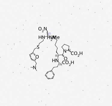 CN/C(=C/[N+](=O)[O-])NCCSCc1ccc(CN(C)C)o1.NCCCC[C@H](N[C@@H](CCc1ccccc1)C(=O)O)C(=O)N1CCC[C@H]1C(=O)O